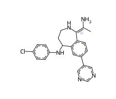 C/C(N)=C1/NCCC(Nc2ccc(Cl)cc2)c2cc(-c3cncnc3)ccc21